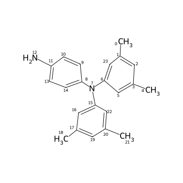 Cc1cc(C)cc(N(c2ccc(N)cc2)c2cc(C)cc(C)c2)c1